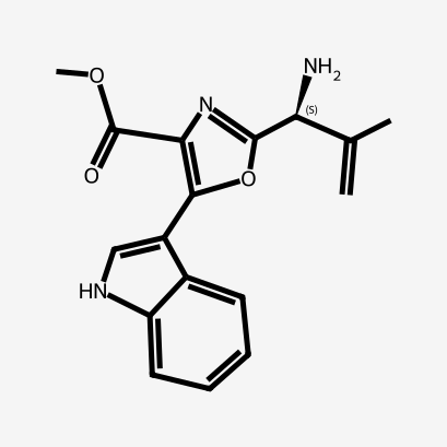 C=C(C)[C@H](N)c1nc(C(=O)OC)c(-c2c[nH]c3ccccc23)o1